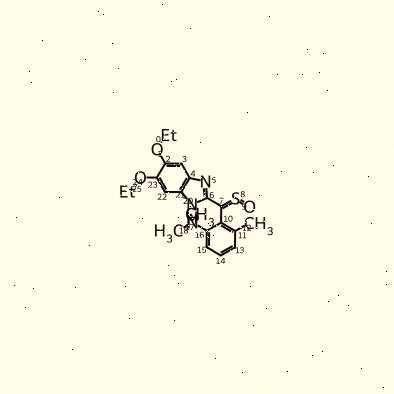 CCOc1cc2nc(C(=S=O)c3c(C)cccc3N(C)C)[nH]c2cc1OCC